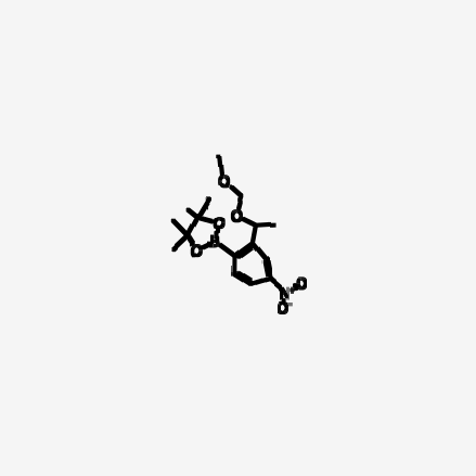 COCOC(C)c1cc([N+](=O)[O-])ccc1B1OC(C)(C)C(C)(C)O1